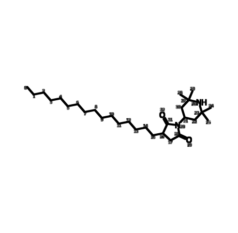 CCCCCCCCCCCCCCCCC1CC(=O)N(C2CC(C)(C)NC(C)(C)C2)C1=O